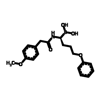 COc1ccc(CC(=O)N[C@H](CCCOc2ccccc2)B(O)O)cc1